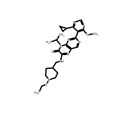 CCSN1CCC(CNc2nc3cnc(-c4c(OC)ncnc4C4CC4)nc3n(C(C)C)c2=O)CC1